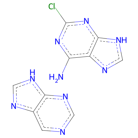 Nc1nc(Cl)nc2[nH]cnc12.c1ncc2nc[nH]c2n1